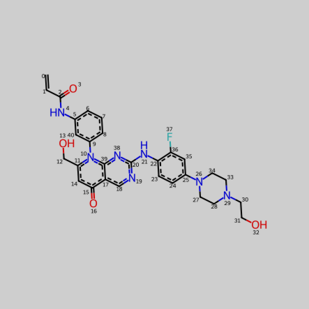 C=CC(=O)Nc1cccc(-n2c(CO)cc(=O)c3cnc(Nc4ccc(N5CCN(CCO)CC5)cc4F)nc32)c1